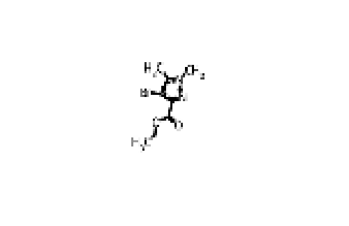 CCOC(=O)c1nn(C)c(C)c1Br